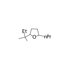 CCCC1CCC(C(C)(C)CC)O1